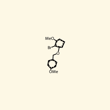 COc1ccc(COc2cccc(OC)c2Br)cc1